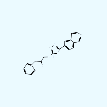 NC(CNc1nnc(-c2ccc3cnccc3c2)s1)Cc1ccccc1